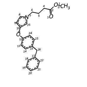 COC(=O)CCCn1ccc(Oc2ccc(Cc3ccccc3)cc2)c1